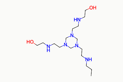 CCCNCCN1CN(CCNCCO)CN(CCNCCO)C1